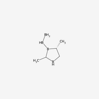 BBB1C(C)BC[C@H]1C